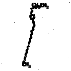 CCCCCCCCCCCCCCCCCCCCCC#Cc1ccc(CC[CH]C(C)CCCC)cc1